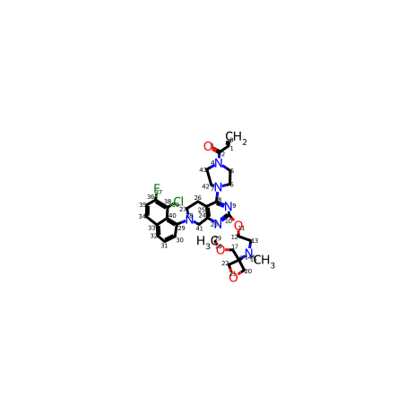 C=CC(=O)N1CCN(c2nc(OCCN(C)C3(COC)COC3)nc3c2CCN(c2cccc4ccc(F)c(Cl)c24)C3)CC1